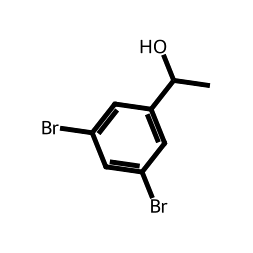 CC(O)c1cc(Br)cc(Br)c1